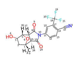 C[C@@]12CC(O)[C@@H](O1)[C@@H]1C(=O)N(c3ccc(C#N)c(C(F)(F)F)c3)C(=O)[C@H]12